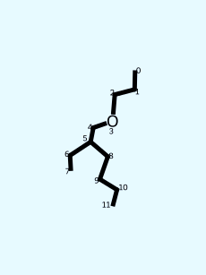 CC[CH]OCC(CC)CCCC